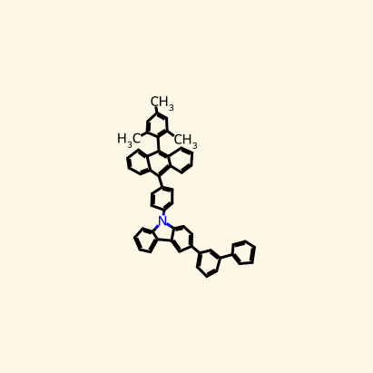 Cc1cc(C)c(-c2c3ccccc3c(-c3ccc(-n4c5ccccc5c5cc(-c6cccc(-c7ccccc7)c6)ccc54)cc3)c3ccccc23)c(C)c1